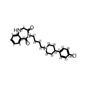 O=C1CNc2ccccc2C(=O)N1CCCCN1CCC(c2ccc(Cl)cc2)CC1